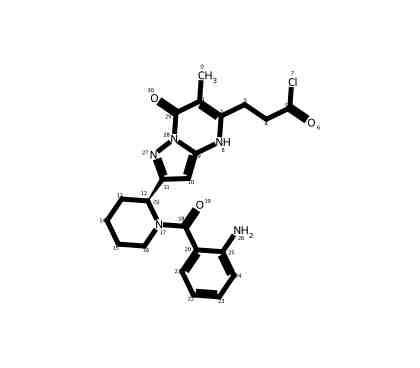 Cc1c(CCC(=O)Cl)[nH]c2cc([C@@H]3CCCCN3C(=O)c3ccccc3N)nn2c1=O